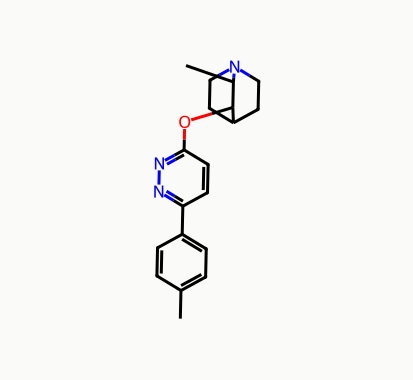 Cc1ccc(-c2ccc(OC3C4CCN(CC4)C3C)nn2)cc1